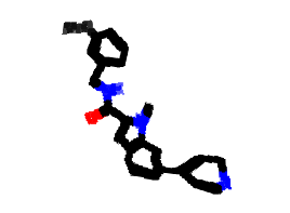 COc1cccc(CNC(=O)c2cc3ccc(-c4ccncc4)cc3n2C)c1